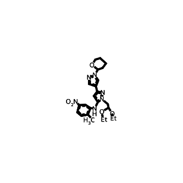 CCOC(Cn1nc(-c2cnn(C3CCCCO3)c2)cc1Nc1cc([N+](=O)[O-])ccc1C)OCC